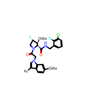 COc1ccc2c(C(C)=O)cn(CC(=O)N3C[C@H](F)[C@@H](OC)[C@H]3C(=O)NCc3cccc(Cl)c3F)c2c1